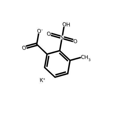 Cc1cccc(C(=O)[O-])c1S(=O)(=O)O.[K+]